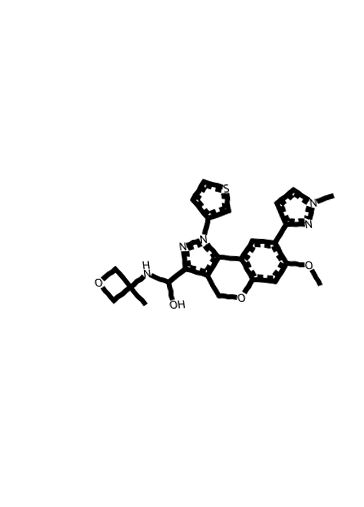 COc1cc2c(cc1-c1ccn(C)n1)-c1c(c(C(O)NC3(C)COC3)nn1-c1ccsc1)CO2